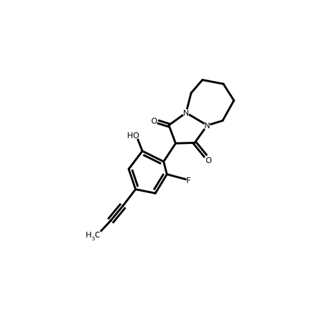 CC#Cc1cc(O)c(C2C(=O)N3CCCCCN3C2=O)c(F)c1